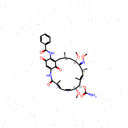 CON=C1[C@@H](OC)C[C@H](C)CC2=C(NC(=O)c3ccccc3)C(=O)C=C(NC(=O)/C(C)=C/C=C\[C@H](OC)[C@@H](OC(N)=O)/C(C)=C/[C@@H]1C)C2=O